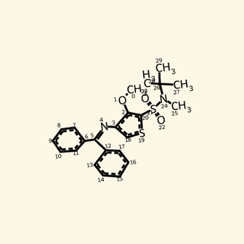 COc1c(N=C(c2ccccc2)c2ccccc2)csc1S(=O)(=O)N(C)C(C)(C)C